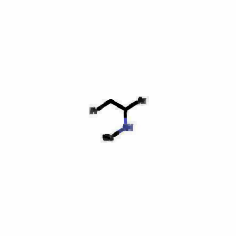 CC(=O)C(CC(C)C)NC(C)(C)C